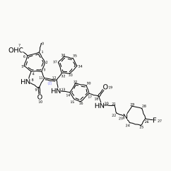 Cc1cc2c(cc1C=O)NC(=O)/C2=C(\Nc1ccc(C(=O)NCCN2CCC(F)CC2)cc1)c1ccccc1